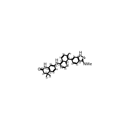 CNc1n[nH]c2cc(-c3c(C)ccc4c(Nc5ccc6c(c5)NC(=O)CC6(C)C)ncnc34)ccc12